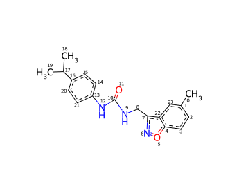 Cc1ccc2onc(CNC(=O)Nc3ccc(C(C)C)cc3)c2c1